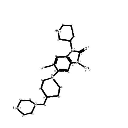 Cn1c(=O)n(C2CCCNC2)c2cc(F)c(N3CCC(CN4CCNCC4)CC3)cc21